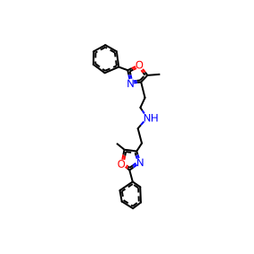 Cc1oc(-c2ccccc2)nc1CCNCCc1nc(-c2ccccc2)oc1C